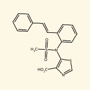 CS(=O)(=O)N(c1ccccc1/C=C/c1ccccc1)c1scnc1C(=O)O